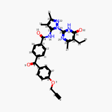 C#CCOc1ccc(C(=O)c2ccc(C(=O)Nc3c(C)c(C)nn3-c3nc(C)c(CC)c(=O)[nH]3)cc2)cc1